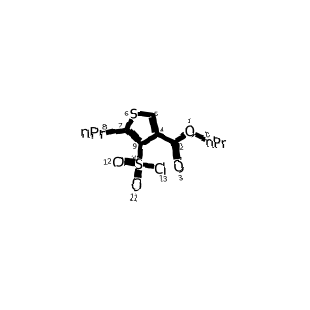 CCCOC(=O)c1csc(CCC)c1S(=O)(=O)Cl